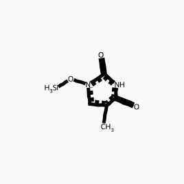 Cc1cn(O[SiH3])c(=O)[nH]c1=O